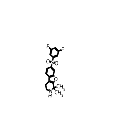 CC1(C)NCCc2c1oc1cc(S(=O)(=O)c3cc(F)cc(F)c3)ccc21